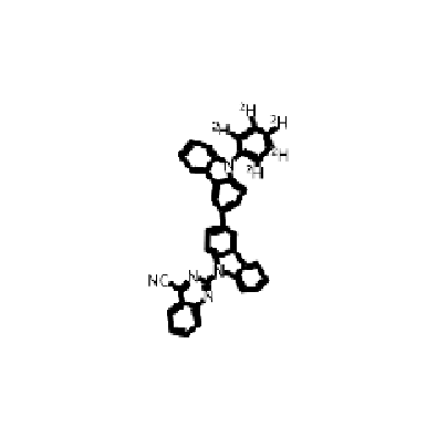 [2H]c1c([2H])c([2H])c(-n2c3ccccc3c3cc(-c4ccc5c(c4)c4ccccc4n5-c4nc(C#N)c5ccccc5n4)ccc32)c([2H])c1[2H]